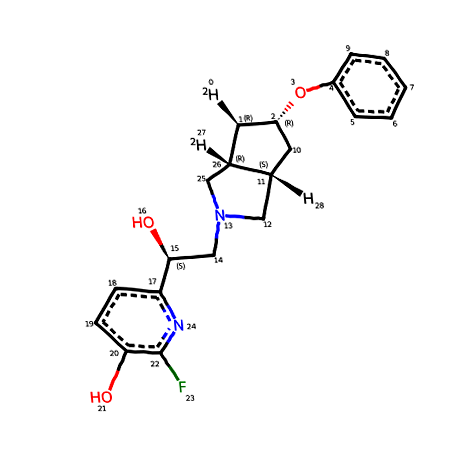 [2H][C@H]1[C@H](Oc2ccccc2)C[C@@H]2CN(C[C@H](O)c3ccc(O)c(F)n3)C[C@@]21[2H]